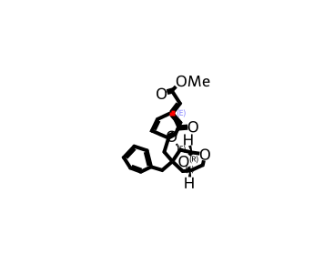 COC(=O)/C=C/C(=O)O[C@@H]1[C@@H]2OC[C@H](CC1(Cc1ccccc1)Cc1ccccc1)O2